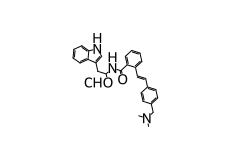 CN(C)Cc1ccc(C=Cc2ccccc2C(=O)NC(C=O)Cc2c[nH]c3ccccc23)cc1